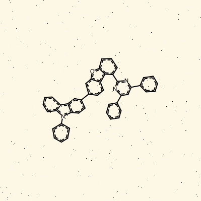 c1ccc(-c2cc(-c3ccccc3)nc(-c3cccc4oc5cc(-c6ccc7c(c6)c6ccccc6n7-c6ccccc6)ccc5c34)n2)cc1